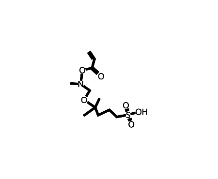 C=CC(=O)ON(C)COC(C)(C)CCCS(=O)(=O)O